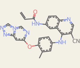 C=CC(=O)Nc1ccc2ncc(C#N)c(Nc3ccc(Oc4cc5nncn5cn4)c(C)c3)c2c1